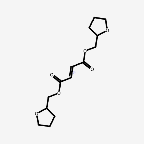 O=C(/C=C/C(=O)OCC1CCCO1)OCC1CCCO1